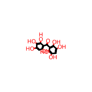 O=C(c1c(O)cc(O)c(O)c1O)c1c(O)c(O)cc(O)c1O